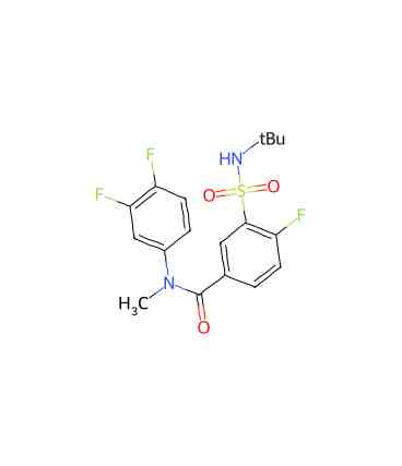 CN(C(=O)c1ccc(F)c(S(=O)(=O)NC(C)(C)C)c1)c1ccc(F)c(F)c1